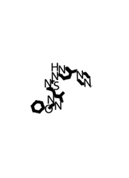 Cc1cnc(OC2CCCCC2)nc1-c1cnc(Nc2ccc(CN3CCN(C)CC3)cn2)s1